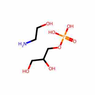 NCCO.O=P(O)(O)OCC(O)CO